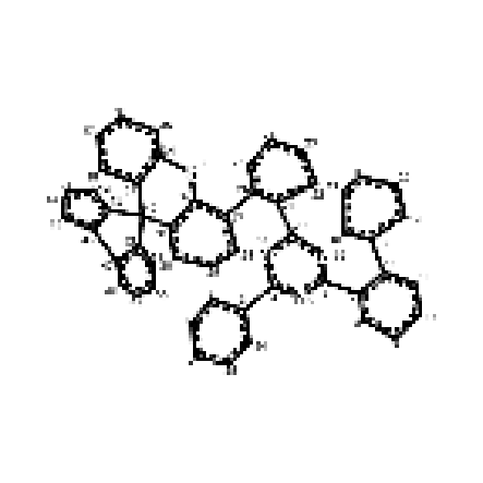 c1ccc(-c2nc(-c3ccccc3-c3ccccc3)nc(-c3ccccc3-c3cccc4c3Sc3ccccc3C43c4ccccc4-c4ccccc43)n2)cc1